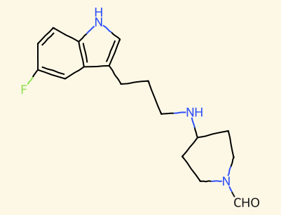 O=CN1CCC(NCCCc2c[nH]c3ccc(F)cc23)CC1